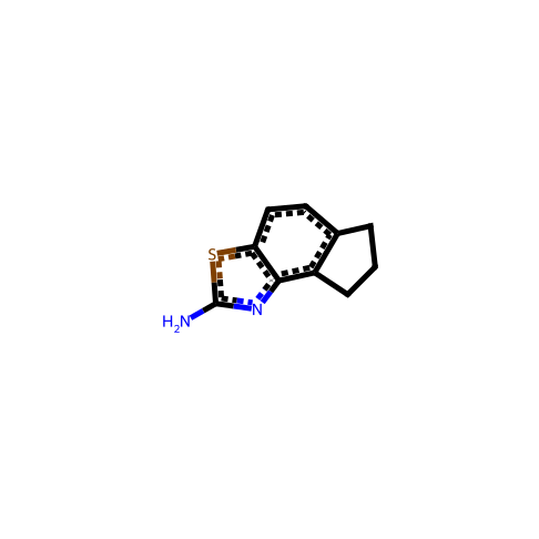 Nc1nc2c3c(ccc2s1)CCC3